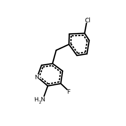 Nc1ncc(Cc2cccc(Cl)c2)cc1F